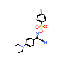 CCN(CC)c1ccc(C(C#N)=NOS(=O)(=O)c2ccc(C)cc2)cc1